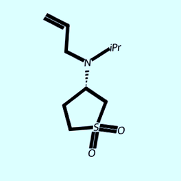 C=CCN(C(C)C)[C@H]1CCS(=O)(=O)C1